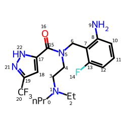 CCCN(CC)CCN(Cc1c(N)cccc1F)C(=O)c1cc(C(F)(F)F)n[nH]1